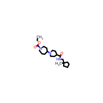 CCOC(=O)N1CCCC(N2CCC(C(=O)NCC3(C)CCCC3)CC2)CC1